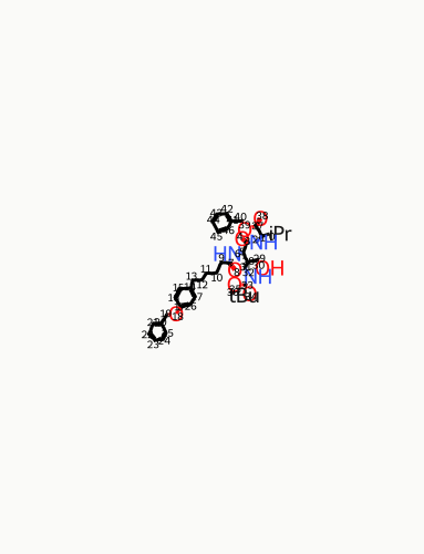 CC(C)C(NC(=O)C(NC(=O)CCCCCc1ccc(OCc2ccccc2)cc1)C(CO)CNC(=O)OC(C)(C)C)C(=O)OCc1ccccc1